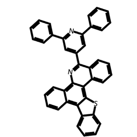 c1ccc(-c2cc(-c3nc4c5ccccc5c5c6ccccc6sc5c4c4ccccc34)cc(-c3ccccc3)n2)cc1